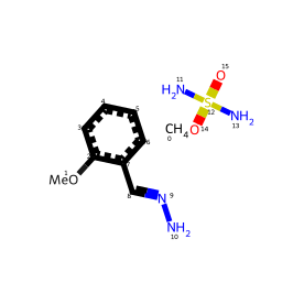 C.COc1ccccc1C=NN.NS(N)(=O)=O